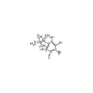 CN(c1c(F)c(F)c(Br)c(F)c1F)[Si](C)(C)C